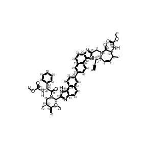 C#CC[C@@H]1C=CC(C)[C@H](NC(=O)OC)C(=O)N1Cc1nc2ccc3cc(-c4ccc5c(ccc6nc(CN(C[C@H](C)C(=C)OC)C(=O)[C@H](NC(=O)OC)c7ccccc7)[nH]c65)c4)ccc3c2[nH]1